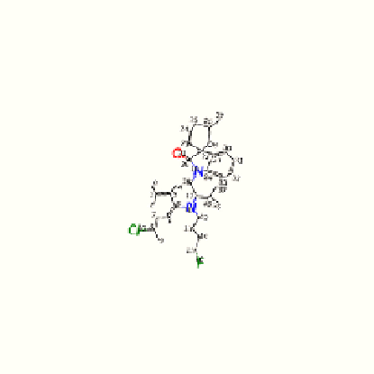 CC(C)=C(C)/C(=C\C=C(/C)Cl)N(CCCCF)C(CN1C(=O)C2(CCCC(C)C2)c2ccccc21)=C(C)C